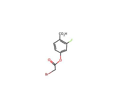 O=C(CBr)Oc1ccc(C(=O)O)c(F)c1